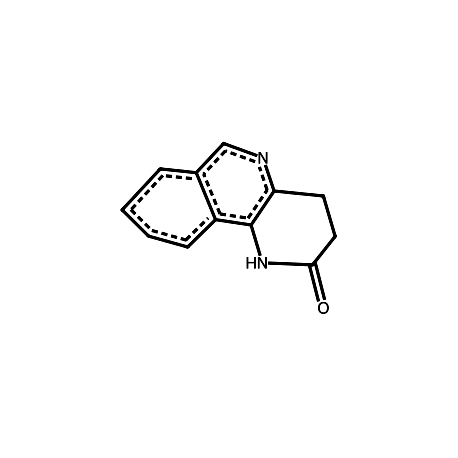 O=C1CCc2ncc3ccccc3c2N1